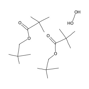 CC(C)(C)COC(=O)C(C)(C)C.CC(C)(C)COC(=O)C(C)(C)C.OO